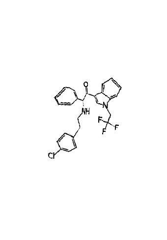 O=C(c1cn(CC(F)(F)F)c2ccccc12)[C@H](NCCc1ccc(Cl)cc1)c1ccccc1